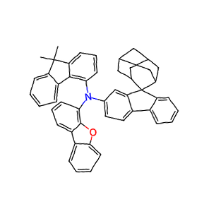 CC1(C)c2ccccc2-c2c(N(c3ccc4c(c3)C3(c5ccccc5-4)C4CC5CC(C4)CC3C5)c3cccc4c3oc3ccccc34)cccc21